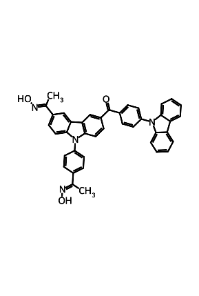 C/C(=N\O)c1ccc(-n2c3ccc(C(=O)c4ccc(-n5c6ccccc6c6ccccc65)cc4)cc3c3cc(/C(C)=N/O)ccc32)cc1